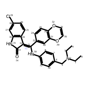 CCN(CC)Cc1ccc(N/C(=C2\C(=O)Nc3cc(Cl)ccc32)c2ccc3c(c2)OC=CO3)cc1